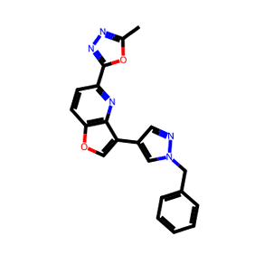 Cc1nnc(-c2ccc3occ(-c4cnn(Cc5ccccc5)c4)c3n2)o1